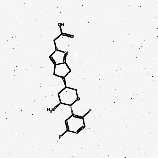 N[C@H]1C[C@@H](N2Cc3cn(CC(=O)O)nc3C2)CO[C@@H]1c1cc(F)ccc1F